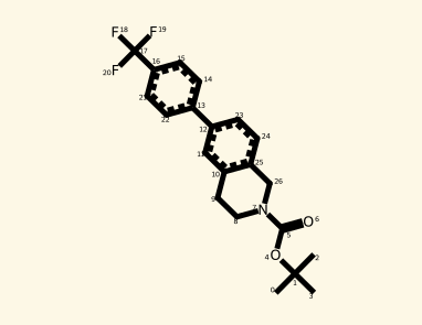 CC(C)(C)OC(=O)N1CCc2cc(-c3ccc(C(F)(F)F)cc3)ccc2C1